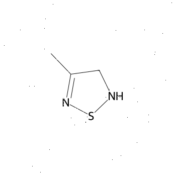 CC1=NSNC1